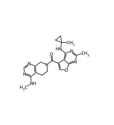 CNc1ncnc2c1CCN(C(=O)c1coc3nc(C)nc(NC4(C)CC4)c13)C2